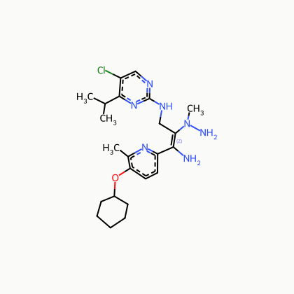 Cc1nc(/C(N)=C(\CNc2ncc(Cl)c(C(C)C)n2)N(C)N)ccc1OC1CCCCC1